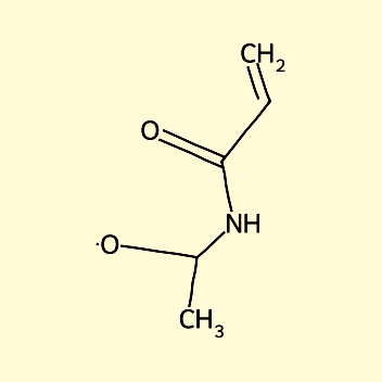 C=CC(=O)NC(C)[O]